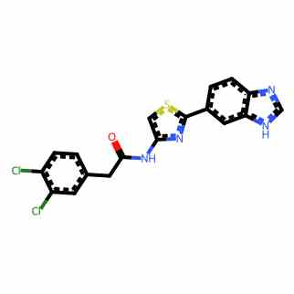 O=C(Cc1ccc(Cl)c(Cl)c1)Nc1csc(-c2ccc3nc[nH]c3c2)n1